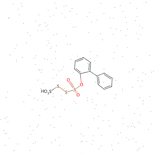 O=S(=O)(O)SSS(=O)(=O)Oc1ccccc1-c1ccccc1